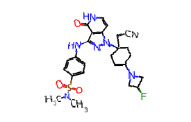 CN(C)S(=O)(=O)c1ccc(Nc2nn(C3(CC#N)CCC(N4CC(F)C4)CC3)c3cc[nH]c(=O)c23)cc1